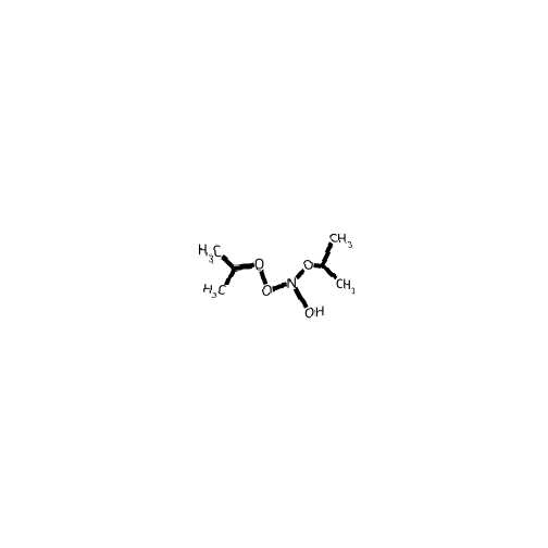 CC(C)OON(O)OC(C)C